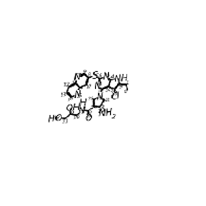 CCc1[nH]c2nc(Sc3cnc4cccnc4c3)nc(N3C[C@H](N)[C@H](C(=O)NCC(O)CO)C3)c2c1Cl